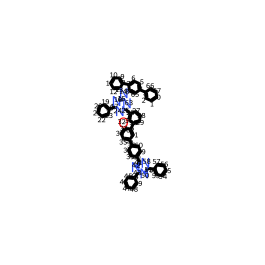 c1ccc(-c2ccc3c4ccccc4n(-c4nc(-c5ccccc5)nc(-c5cccc6c5oc5ccc(-c7ccc(-c8nc(-c9ccccc9)nc(-c9ccccc9)n8)cc7)cc56)n4)c3c2)cc1